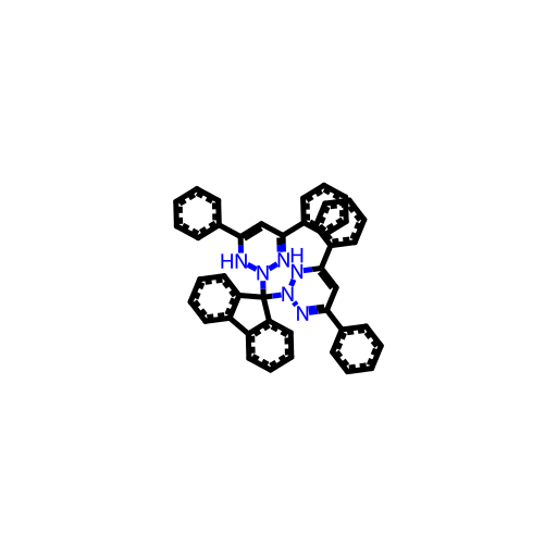 C1=C(c2ccccc2)NN(C2(N3N=C(c4ccccc4)C=C(c4ccccc4)N3)c3ccccc3-c3ccccc32)N=C1c1ccccc1